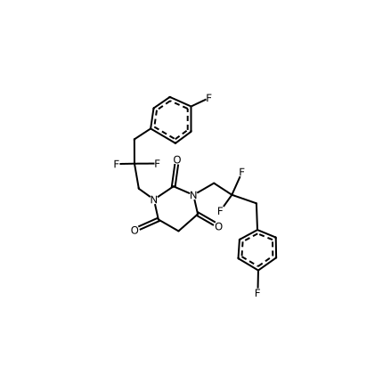 O=C1CC(=O)N(CC(F)(F)Cc2ccc(F)cc2)C(=O)N1CC(F)(F)Cc1ccc(F)cc1